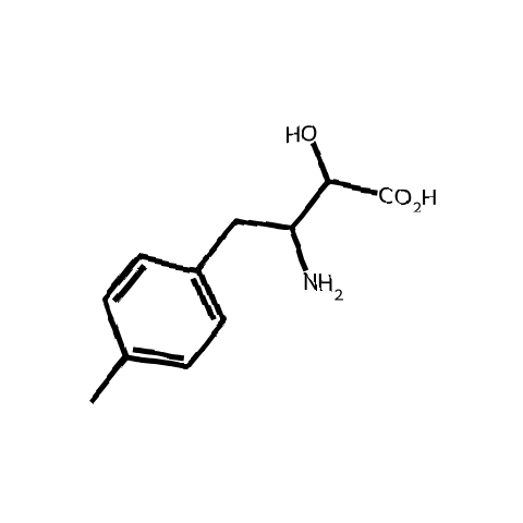 Cc1ccc(CC(N)C(O)C(=O)O)cc1